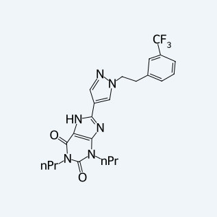 CCCn1c(=O)c2[nH]c(-c3cnn(CCc4cccc(C(F)(F)F)c4)c3)nc2n(CCC)c1=O